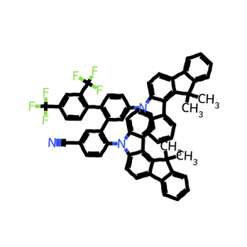 CC1(C)c2ccccc2-c2ccc3c(c21)c1ccccc1n3-c1ccc(-c2ccc(C(F)(F)F)cc2C(F)(F)F)c(-c2cc(C#N)ccc2-n2c3ccccc3c3c4c(ccc32)-c2ccccc2C4(C)C)c1